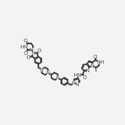 C[C@@H]1CNC(=O)c2cc3ccc(C(=O)Nc4cnn(Cc5ccc(N6CCC(N7CCN(Cc8ccc9c(c8)C(=O)N(N8CCC(=O)NC8=O)C9=O)CC7)CC6)cc5)c4)nc3n21